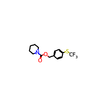 O=C(OCc1ccc(SC(F)(F)F)cc1)N1CCCCC1